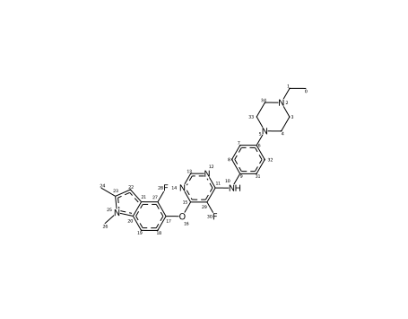 CCN1CCN(c2ccc(Nc3ncnc(Oc4ccc5c(cc(C)n5C)c4F)c3F)cc2)CC1